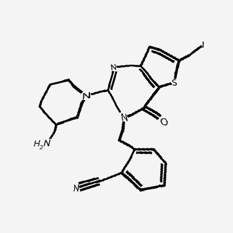 N#Cc1ccccc1Cn1c(N2CCCC(N)C2)nc2cc(I)sc2c1=O